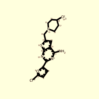 Nc1nc(-c2ccc(Cl)o2)nc2sc(CN3CCC(C(F)(F)F)CC3)cc12